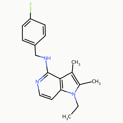 CCn1c(C)c(C)c2c(NCc3ccc(F)cc3)nccc21